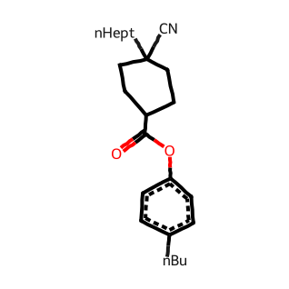 CCCCCCCC1(C#N)CCC(C(=O)Oc2ccc(CCCC)cc2)CC1